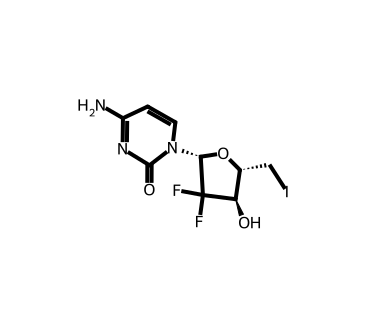 Nc1ccn([C@@H]2O[C@H](CI)[C@@H](O)C2(F)F)c(=O)n1